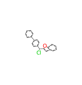 ClC(c1ccc(-c2ccccc2)cc1)c1cc2ccccc2o1